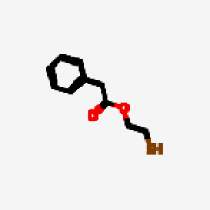 O=C(Cc1ccccc1)OCCS